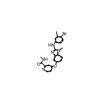 CNC(=O)c1cc(Oc2ccc3c(c2)nc(Nc2ccc(Br)c(C)c2)n3C)ccn1